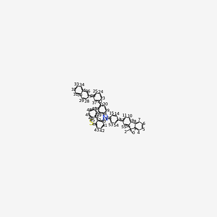 CC1(C)c2ccccc2-c2ccc(-c3ccc(N(c4ccc(-c5cccc(-c6ccc7ccccc7c6)c5)cc4)c4cccc5sc6ccccc6c45)cc3)cc21